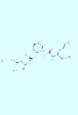 CCCCC(CC)NC(=O)N[C@@H]1CCCC[C@H]1NC(=O)NC(CC)CCCC